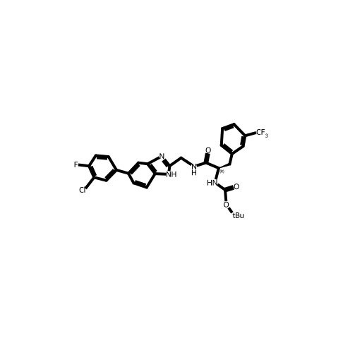 CC(C)(C)OC(=O)N[C@H](Cc1cccc(C(F)(F)F)c1)C(=O)NCc1nc2cc(-c3ccc(F)c(Cl)c3)ccc2[nH]1